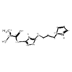 CN(C)C(=O)Sc1nsc(OCCCn2cccn2)n1